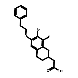 O=C(O)CC1CCc2cc(OCCc3ccccc3)c(Br)c(F)c2C1